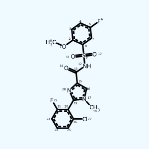 COc1ccc(F)cc1S(=O)(=O)NC(=O)c1cn(C)c(-c2c(F)cccc2Cl)n1